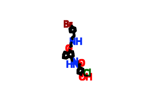 O=C(N/N=C/c1ccc(OCCNCCc2ccc(Br)cc2)c2ccccc12)c1ccc(O)c(Cl)c1